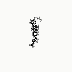 Cc1ccc(CNS(=O)(=O)c2ccc(-c3cnc(C4CC4)o3)cc2)o1